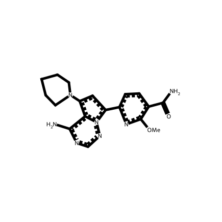 COc1nc(-c2cc(N3CCCCC3)c3c(N)ncnn23)ccc1C(N)=O